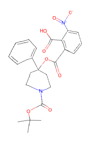 CC(C)(C)OC(=O)N1CCC(OC(=O)c2cccc([N+](=O)[O-])c2C(=O)O)(c2ccccc2)CC1